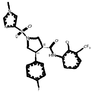 Cn1cnc(S(=O)(=O)N2C[C@H](C(=O)Nc3cccc(C(F)(F)F)c3Cl)[C@@H](c3ccc(F)cc3)C2)c1